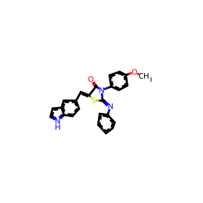 COc1ccc(N2C(=O)/C(=C/c3ccc4[nH]ccc4c3)S/C2=N\c2ccccc2)cc1